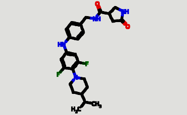 CC(C)C1CCN(c2c(F)cc(Nc3ccc(CNC(=O)C4CNC(=O)C4)cc3)cc2F)CC1